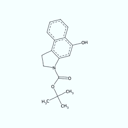 CC(C)(C)OC(=O)N1CCc2c1cc(O)c1ccccc21